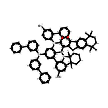 CC(C)(C)c1ccc(N2c3cc(N(c4cccc(-c5ccccc5)c4)c4cccc(-c5ccccc5)c4)cc4c3B(c3c2ccc2c3Cc3cc5c(cc3-2)C(C)(C)CCC5(C)C)N2c3c-4cc(C(C)(C)C)cc3C3(C)CCCCC23C)c(-c2ccccc2)c1